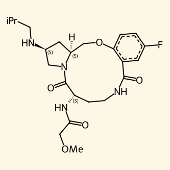 COCC(=O)N[C@H]1CCNC(=O)c2cc(F)ccc2OC[C@@H]2C[C@H](NCC(C)C)CN2C1=O